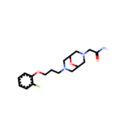 NC(=O)CN1CC2CN(CCCOc3ccccc3F)CC(C1)O2